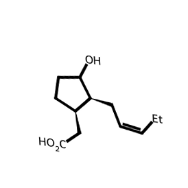 CC/C=C\C[C@@H]1C(O)CC[C@@H]1CC(=O)O